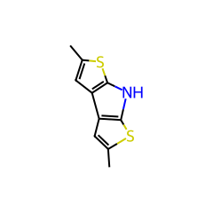 Cc1cc2c([nH]c3sc(C)cc32)s1